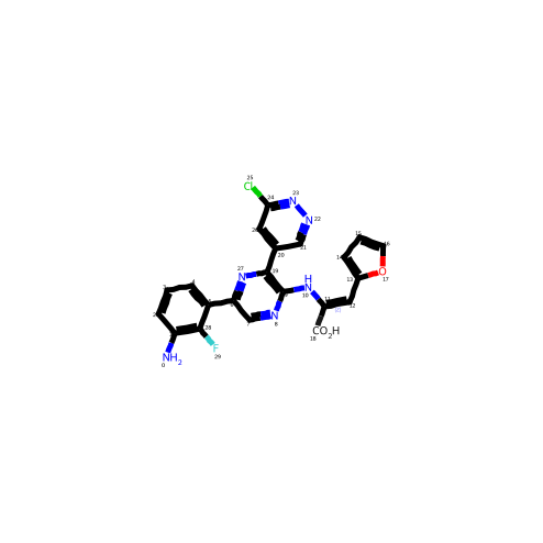 Nc1cccc(-c2cnc(N/C(=C\c3ccco3)C(=O)O)c(-c3cnnc(Cl)c3)n2)c1F